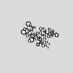 C=C[C@@H]1C[C@]1(NC(=O)[C@@H]1C[C@@]2(CN1C(=O)[C@@H](NC[C@@H](NC(=O)[C@@H]1CCCCN1C(C)C)C1(C)CCCCC1)C1(C)CCOCC1)C(C)(C)C21CCC1)C(=O)NS(=O)(=O)N1CCCC1